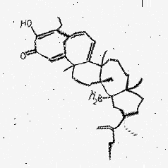 BC12C[C@](C)(C(=C)CC)CCC1(C)CCC1(C)C3=CC=C4C(=CC(=O)C(O)=C4C)C3(C)CC[C@]12C